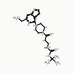 CCc1cc2sccc2c(N2CCN(C(=O)CCNC(=O)OC(C)(C)C)CC2)n1